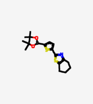 CC1(C)OB(c2ccc(-c3nc4c(s3)CCCC4)s2)OC1(C)C